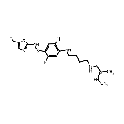 CN[C@H](C)CNCCCCNc1cc(F)c(SNc2ncc(F)s2)cc1Cl